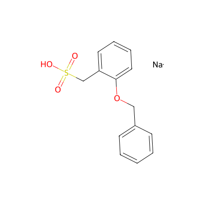 O=S(=O)(O)Cc1ccccc1OCc1ccccc1.[Na]